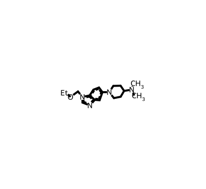 CCOCn1cnc2cc(N3CCC(N(C)C)CC3)ccc21